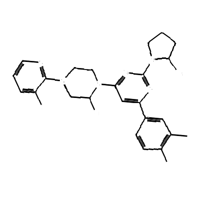 CC1CN(c2ncccc2Cl)CCN1c1cc(-c2ccc(Cl)c(F)c2)nc(N2CCCC2C)n1